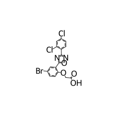 O=C(O)COc1ccc(Br)cc1-c1nc(-c2ccc(Cl)cc2Cl)no1